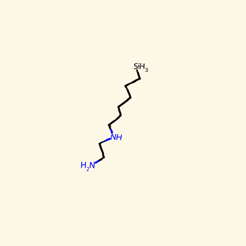 NCCNCCCCCC[SiH3]